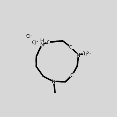 CN1CCCNCCC[N]([Ti+2])CCC1.[Cl-].[Cl-]